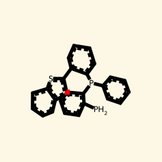 Pc1ccccc1P(c1ccccc1)c1ccccc1-c1nc2ccccc2s1